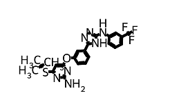 CC(C)(C)Sc1cc(Oc2cccc(-c3nnc(Nc4cccc(C(F)(F)F)c4)[nH]3)c2)nc(N)n1